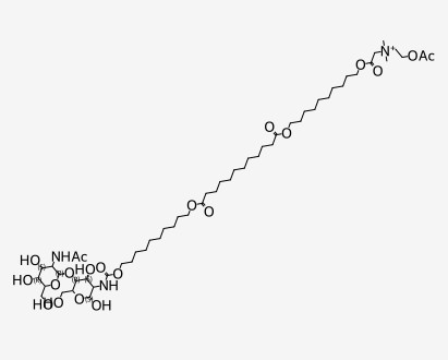 CC(=O)NC1[C@@H](O[C@H]2C(CO)O[C@H](O)C(NC(=O)OCCCCCCCCCCOC(=O)CCCCCCCCCCC(=O)OCCCCCCCCCCOC(=O)C[N+](C)(C)CCOC(C)=O)[C@@H]2O)OC(CO)[C@H](O)[C@H]1O